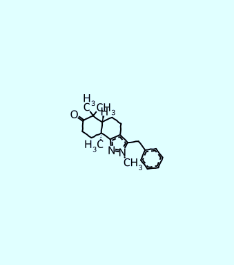 Cn1nc2c(c1Cc1ccccc1)CC[C@H]1C(C)(C)C(=O)CC[C@]21C